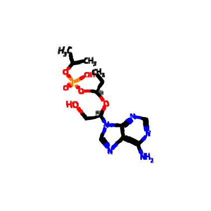 CC[C@@H](O[C@H](CO)n1cnc2c(N)ncnc21)OP(=O)(O)OC(C)C